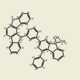 C[Si]1(C)c2ccccc2-c2c(-c3ccccc3)nc(-c3cccc(-n4c5ccccc5c5ccc6sc7ccccc7c6c54)c3)nc21